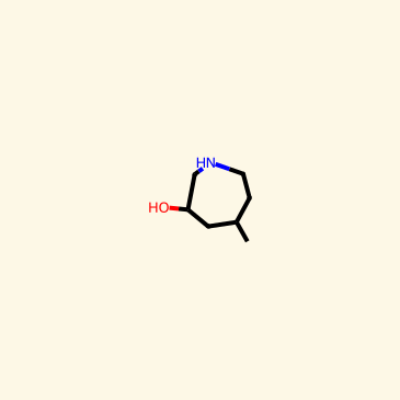 CC1CCNCC(O)C1